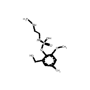 COc1cc(C)cc(CO)c1OP(=O)(O)NCCNP